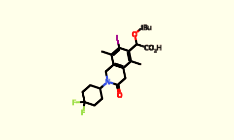 Cc1c(I)c(C(OC(C)(C)C)C(=O)O)c(C)c2c1CN(C1CCC(F)(F)CC1)C(=O)C2